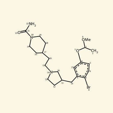 COC(C)Oc1ccc(Br)c(CC2CCN(CCC3CCN(C(N)=O)CC3)C2)c1